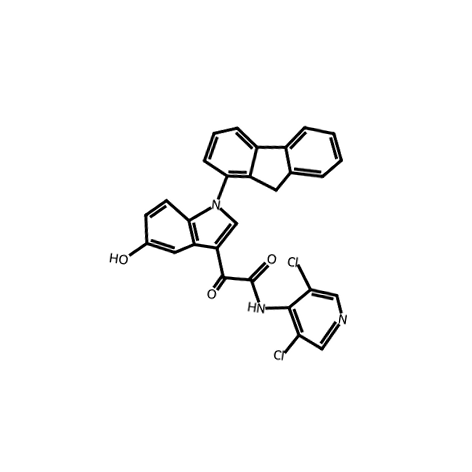 O=C(Nc1c(Cl)cncc1Cl)C(=O)c1cn(-c2cccc3c2Cc2ccccc2-3)c2ccc(O)cc12